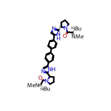 CC[C@H](C)[C@H](NC)C(=O)N1CCCC1c1ncc(-c2ccc(-c3ccc(-c4cnc([C@@H]5CCCN5C(=O)[C@@H](NC)[C@@H](C)CC)[nH]4)cc3)cc2)[nH]1